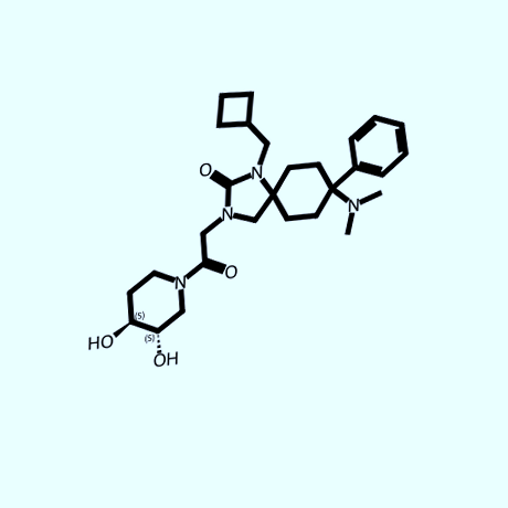 CN(C)C1(c2ccccc2)CCC2(CC1)CN(CC(=O)N1CC[C@H](O)[C@@H](O)C1)C(=O)N2CC1CCC1